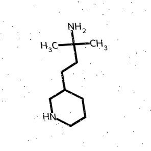 CC(C)(N)CCC1CCCNC1